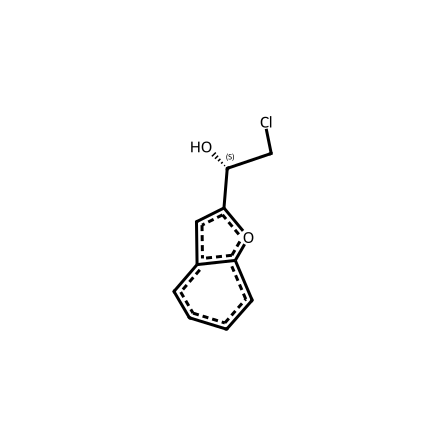 O[C@H](CCl)c1cc2ccccc2o1